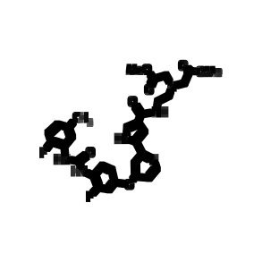 COC(=O)CN(CCNC(=O)c1c[nH]c(-c2cc(Oc3ccc(NC(=O)Nc4cc(C)ccc4F)c(F)c3)ccn2)c1)CC(=O)OC